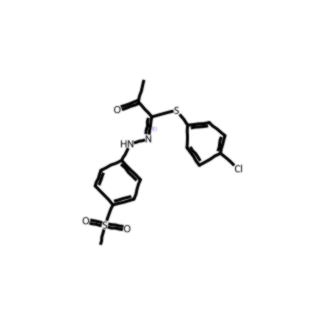 CC(=O)/C(=N\Nc1ccc(S(C)(=O)=O)cc1)Sc1ccc(Cl)cc1